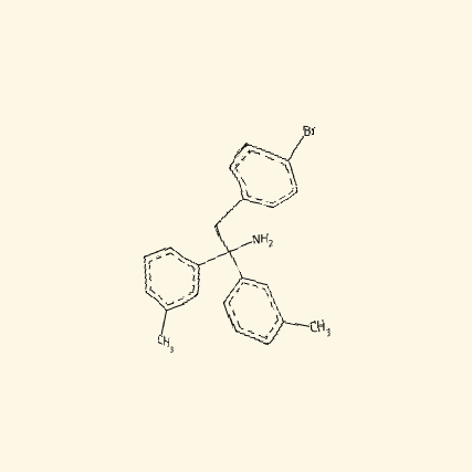 Cc1cccc(C(N)(Cc2ccc(Br)cc2)c2cccc(C)c2)c1